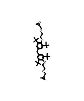 CC(C)(C)c1cc(Cc2cc(C(C)(C)C)c(OCCOCC3CO3)c(C(C)(C)C)c2)cc(C(C)(C)C)c1OCCOCC1CO1